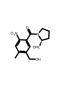 Cc1cc([N+](=O)[O-])c(C(=O)N2CCC[C@H]2C=O)cc1CO